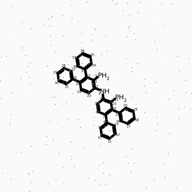 Pc1c(Nc2ccc(-c3ccccc3)c(-c3ccccc3)c2P)ccc(-c2ccccc2)c1-c1ccccc1